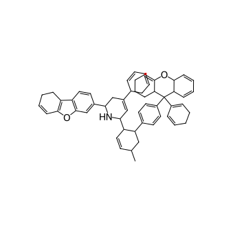 CC1C=CC(C2C=C(C3C=CC=CC3)CC(c3ccc4c5c(oc4c3)C=CCC5)N2)C(c2ccc(C3(C4=CCCC=C4)C4CCCC=C4OC4C=CC=CC43)cc2)C1